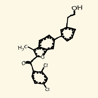 Cc1c(C(=O)c2ccc(Cl)cc2Cl)oc2cc(-c3cccc(CCO)c3)ccc12